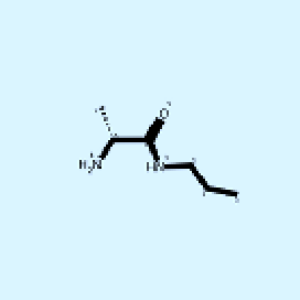 CCCNC(=O)[C@@H](C)N